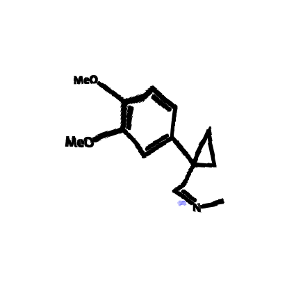 C/N=C\C1(c2ccc(OC)c(OC)c2)CC1